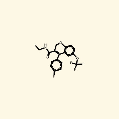 CCNC(=O)C1=C(c2ccc(F)cc2)c2cc(OC(F)(F)F)ccc2OC1